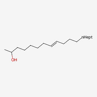 CCCCCCCCCCC=CCCCCCC(C)O